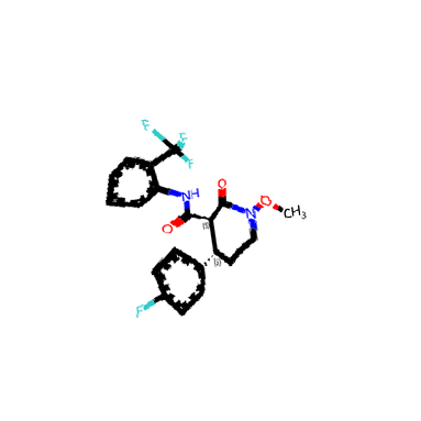 CON1CC[C@H](c2ccc(F)cc2)[C@@H](C(=O)Nc2ccccc2C(F)(F)F)C1=O